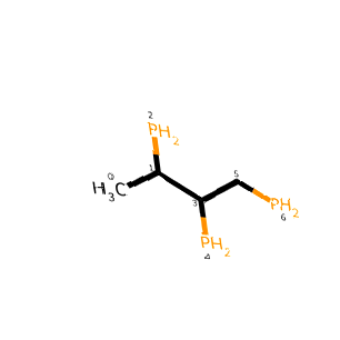 CC(P)C(P)CP